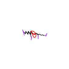 ICCCCC(I)COCC(I)CCCCI